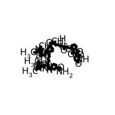 CCn1nc(C)cc1C(=O)Nc1nc2cc(C(N)=O)ccc2n1C/C=C/Cn1c(NC(=O)c2cc(C)nn2CC)nc2cc(C(=O)N(C)CCCNC(=O)COc3cccc4c3C(=O)N(C3CCC(=O)NC3=O)C4=O)ccc21